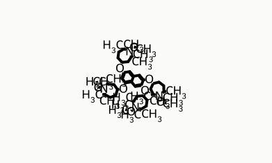 CON1C(C)(C)CCC(Oc2cc(OC3CCC(C)(C)N(OC)C(C)(C)C3)c3cc(OC4CCC(C)(C)N(OC)C(C)(C)C4)c(OC4CCC(C)(C)N(OC)C(C)(C)C4)cc3c2)CC1(C)C